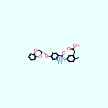 Cc1ccc(NC(=O)c2cc(F)c(OC[C@H]3COc4ccccc4O3)cc2Cl)cc1CC(=O)O